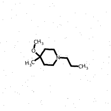 CCCN1CCC(C)(OC)CC1